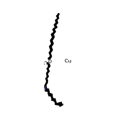 CCCCCCCC/C=C\CCCCCCCC(=O)OC=CCCCCCCCCCCCCCCCC.[Cu]